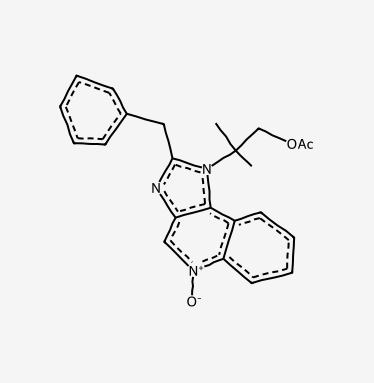 CC(=O)OCC(C)(C)n1c(Cc2ccccc2)nc2c[n+]([O-])c3ccccc3c21